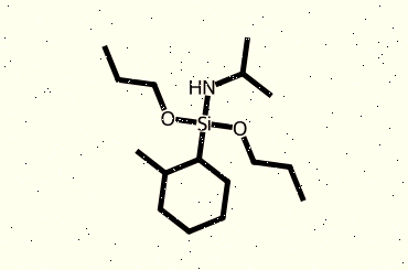 CCCO[Si](NC(C)C)(OCCC)C1CCCCC1C